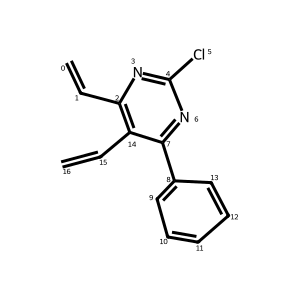 C=Cc1nc(Cl)nc(-c2ccccc2)c1C=C